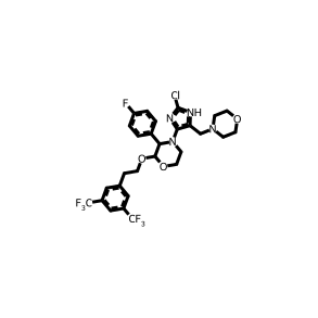 Fc1ccc(C2C(OCCc3cc(C(F)(F)F)cc(C(F)(F)F)c3)OCCN2c2nc(Cl)[nH]c2CN2CCOCC2)cc1